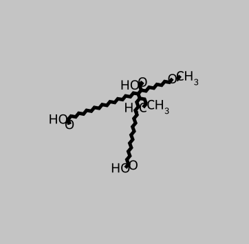 CCOCCCCCCCC(C(=O)O)C(CCCCCCCCCCCCCCCCCC(=O)O)C(CCCCCCCCCCCCCCCC(=O)O)CC(C)C